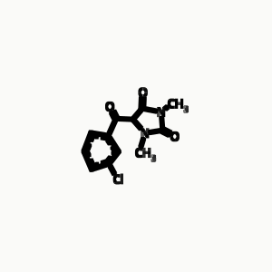 CN1C(=O)C(C(=O)c2cccc(Cl)c2)N(C)C1=O